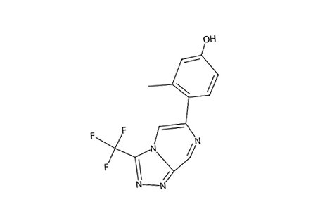 Cc1cc(O)ccc1-c1cn2c(C(F)(F)F)nnc2cn1